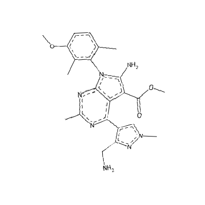 COC(=O)c1c(N)n(-c2c(C)ccc(OC)c2C)c2nc(C)nc(-c3cn(C)nc3CN)c12